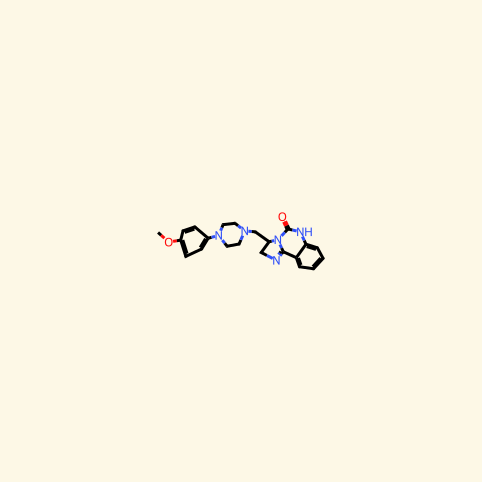 COc1ccc(N2CCN(CC3CN=C4c5ccccc5NC(=O)N43)CC2)cc1